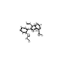 C=Cc1c(-c2ccccc2OCC)sc2c(OC)ncnc12